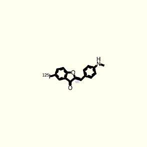 CNc1ccc(/C=C2\Oc3ccc([125I])cc3C2=O)cc1